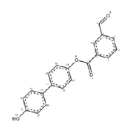 O=Cc1cccc(C(=O)Oc2ccc(-c3ccc(O)cc3)cc2)c1